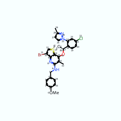 COc1ccc(CNc2nc3c(Br)csc3c(O[C@H](c3ccc(Cl)cc3-n3ccc(C)n3)C(F)(F)F)c2C)cc1